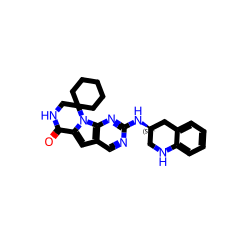 O=C1NCC2(CCCCC2)n2c1cc1cnc(N[C@@H]3CNc4ccccc4C3)nc12